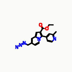 CCOC(=O)c1cc2cc(CN=[N+]=[N-])ccn2c1-c1ccnc(C)c1